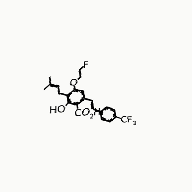 CC(C)=CCc1c(OCCF)cc(C=Cc2ccc(C(F)(F)F)cc2)c(C(=O)O)c1O